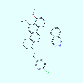 COc1cccc2c1c(OC)cc1c3c(ccc12)C(CCc1ccc(Cl)cc1)CCC3.c1ccc2cnccc2c1